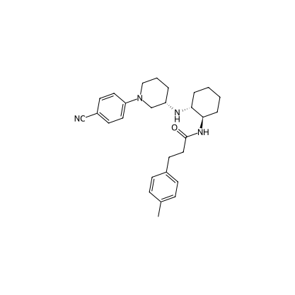 Cc1ccc(CCC(=O)N[C@@H]2CCCC[C@H]2N[C@H]2CCCN(c3ccc(C#N)cc3)C2)cc1